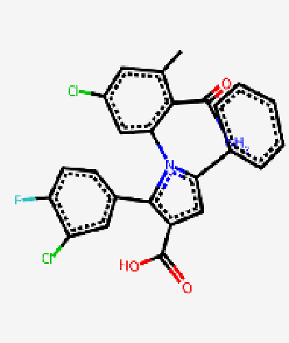 Cc1cc(Cl)cc(-n2c(-c3ccccc3)cc(C(=O)O)c2-c2ccc(F)c(Cl)c2)c1C(N)=O